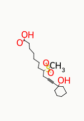 CS(=O)(=O)C(CC#CC1(O)CCCCC1)CCCCCCC(=O)O